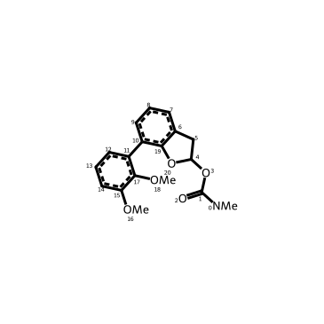 CNC(=O)OC1Cc2cccc(-c3cccc(OC)c3OC)c2O1